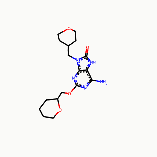 Nc1nc(OCC2CCCCO2)nc2c1[nH]c(=O)n2CC1CCOCC1